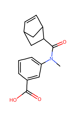 CN(C(=O)C1CC2C=CC1C2)c1cccc(C(=O)O)c1